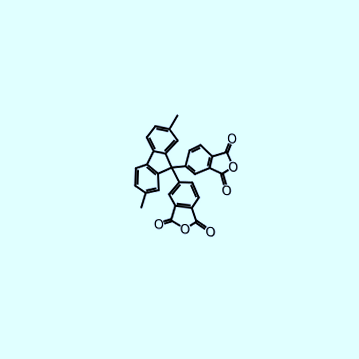 Cc1ccc2c(c1)C(c1ccc3c(c1)C(=O)OC3=O)(c1ccc3c(c1)C(=O)OC3=O)c1cc(C)ccc1-2